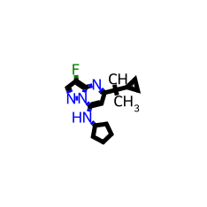 CC(C)(c1cc(NC2CCCC2)n2ncc(F)c2n1)C1CC1